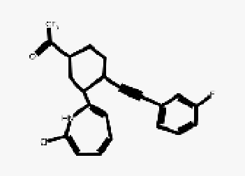 O=C(C1CCC(C#Cc2cccc(F)c2)C(C2=CC=CC=C(Cl)N2)C1)C(F)(F)F